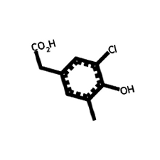 Cc1cc(CC(=O)O)cc(Cl)c1O